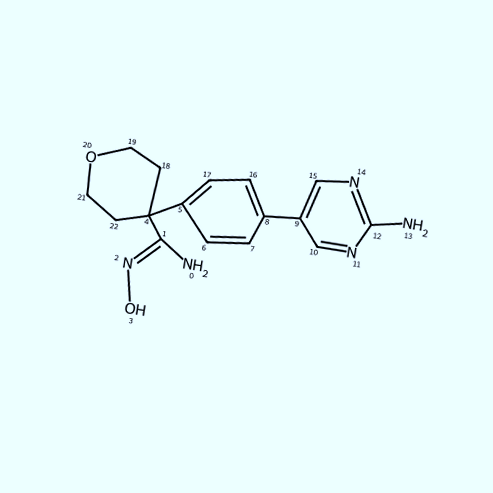 N/C(=N\O)C1(c2ccc(-c3cnc(N)nc3)cc2)CCOCC1